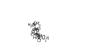 Cc1ccc(O)cc1-c1ccc(C(=O)NC2(C(=O)O)CCCCC2)nc1-c1ccc(Cl)c(OCCCN(C)C)c1